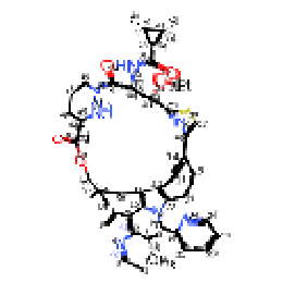 C=C/C(=C(\N=C/C)[C@H](C)OC)c1c2c3cc(ccc3n1Cc1ccccn1)-c1csc(n1)[C@@H](OCC)[C@H](NC(=O)[C@H]1[C@H](C)[C@@H]1C)C(=O)N1CCC[C@H](N1)C(=O)OCC(C)(C)C2